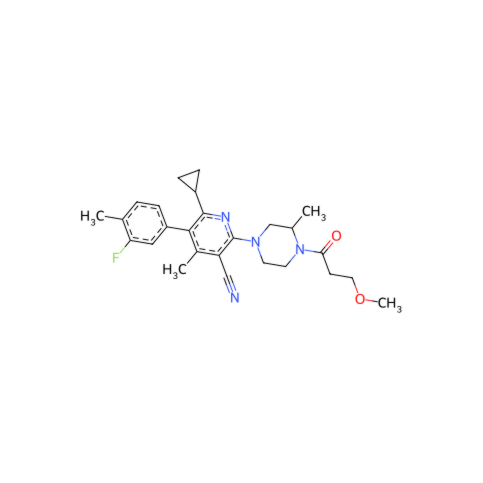 COCCC(=O)N1CCN(c2nc(C3CC3)c(-c3ccc(C)c(F)c3)c(C)c2C#N)CC1C